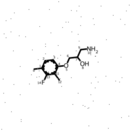 Cc1ccc(OCC(O)CN)c(C)c1F